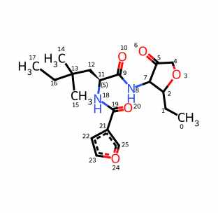 CCC1OCC(=O)C1NC(=O)[C@H](CC(C)(C)CC)NC(=O)c1ccoc1